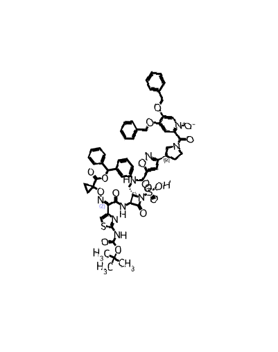 CC(C)(C)OC(=O)Nc1nc(/C(=N/OC2(C(=O)OC(c3ccccc3)c3ccccc3)CC2)C(=O)NC2C(=O)N(S(=O)(=O)O)[C@H]2CNC(=O)c2cc([C@@H]3CCN(C(=O)c4cc(OCc5ccccc5)c(OCc5ccccc5)c[n+]4[O-])C3)no2)cs1